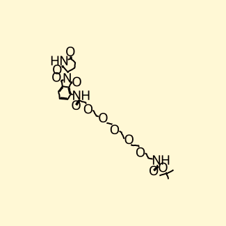 CC(C)(C)OC(=O)NCCOCCOCCOCCOCCOCC(=O)Nc1cccc2c1C(=O)N(C1CCC(=O)NC1=O)C2=O